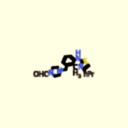 CCCc1csc(Nc2cccc(CN3CCN(C=O)CC3)c2C)n1